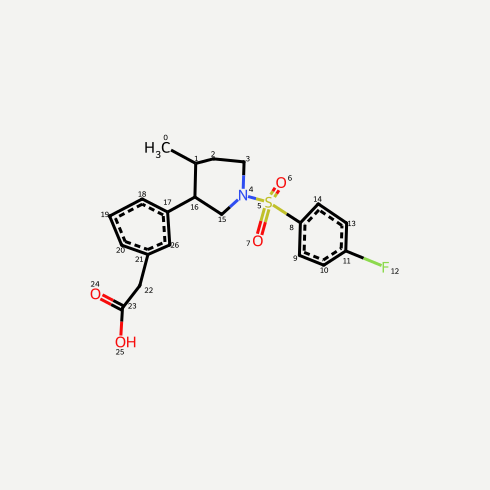 CC1CCN(S(=O)(=O)c2ccc(F)cc2)CC1c1cccc(CC(=O)O)c1